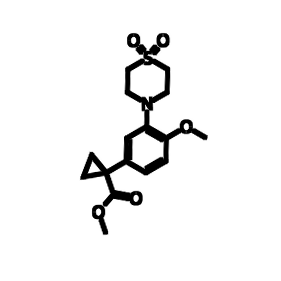 COC(=O)C1(c2ccc(OC)c(N3CCS(=O)(=O)CC3)c2)CC1